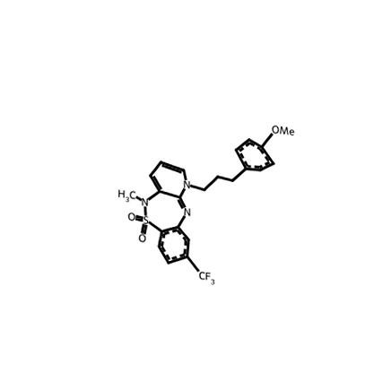 COc1ccc(CCCN2C=CC=C3C2=Nc2cc(C(F)(F)F)ccc2S(=O)(=O)N3C)cc1